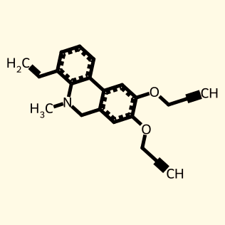 C#CCOc1cc2c(cc1OCC#C)-c1cccc(C=C)c1N(C)C2